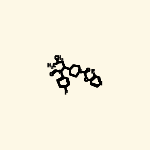 CC(C)CC(C1CCN(C(=O)Oc2ccncc2F)CC1)N(C=O)c1ccc(F)cc1